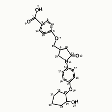 O=C(O)c1ccc(OCC2CC(=O)N(c3ccc(OC4CCCCC4O)cc3)C2)cc1